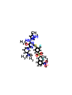 COc1c(Nc2cc(C)[nH]n2)nc(Sc2ccc(S(=O)(=O)C(C)Cc3cccc([N+](=O)[O-])c3F)cc2F)nc1N1CCCC(N(C)C)C1